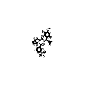 COc1cc(F)c([C@H](NC(=O)[C@H]2C[C@H]3C#C[C@H]3N2C(=O)c2cccc(S(C)(=O)=O)c2)C2CC2)cc1F